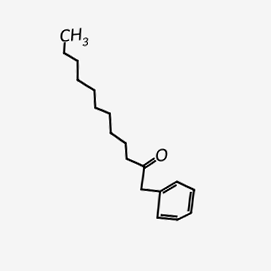 CCCCCCCCCCC(=O)Cc1ccccc1